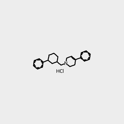 C1=C(c2ccccc2)CCN(CC2CCCC(c3ccccc3)C2)C1.Cl